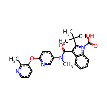 Cc1ncccc1Oc1ccc(N(C)C(=O)c2c(C(C)(C)C)n(C(=O)O)c3ccccc23)cn1